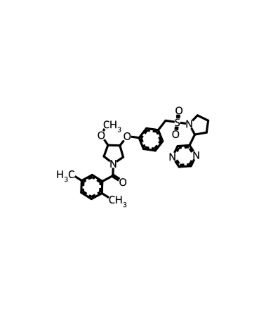 COC1CN(C(=O)c2cc(C)ccc2C)CC1Oc1cccc(CS(=O)(=O)N2CCCC2c2cnccn2)c1